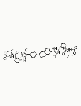 COC(=O)NC(C(=O)N1CCC[C@H]1c1nc(Cl)c(-c2ccc3cc(-c4ccc(-c5[nH]c([C@@H]6CCCN6C(=O)[C@@H](NC(=O)OC)C(C)C)nc5Cl)cc4)ccc3c2)[nH]1)C(C)C